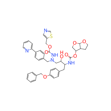 O=C(NN(Cc1ccc(-c2ccccn2)cc1)CC(O)C(Cc1ccc(OCc2ccccc2)cc1)NC(=O)OC1COC2OCCC12)OCc1cncs1